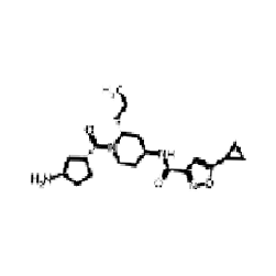 CCC[C@@H]1CC(NC(=O)c2cc(C3CC3)on2)CCN1C(=O)[C@@H]1CC[C@@H](N)C1